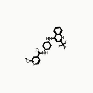 COc1cc(C(=O)N[C@H]2CC[C@@H](Nc3cc(C(F)(F)F)nc4ccccc34)CC2)ccn1